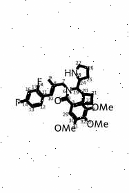 COc1cc(C(=O)N(CC(C)=Cc2ccc(F)cc2F)C(C2CCC2)C2CCCN2)cc(OC)c1OC